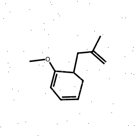 C=C(C)CC1CC=CC=C1OC